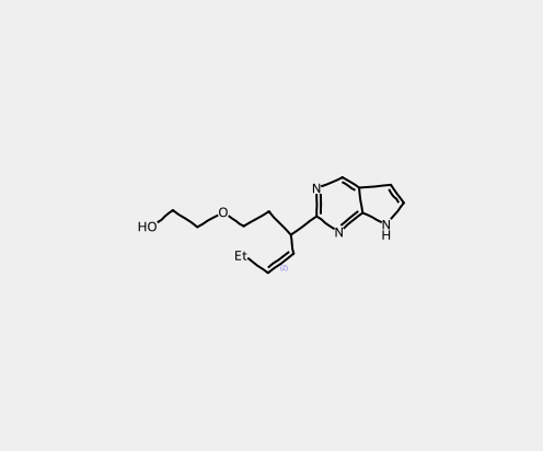 CC/C=C\C(CCOCCO)c1ncc2cc[nH]c2n1